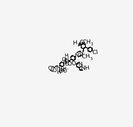 C[C@@H]1CN(c2ccc(C(=O)NS(=O)(=O)c3ccc(NCC4COCCO4)c([N+](=O)[O-])c3)c(Oc3cnc4[nH]ccc4c3)c2)CCN1CC1=C(c2ccc(Cl)cc2)CC(C)(C)C2(CC2)C1